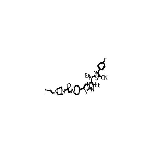 CCc1nc2sc(C3CCN(CC(=O)N4CCN(CCF)CC4)CC3)cn2c1N(CC)c1nc(-c2ccc(F)cc2)c(C#N)s1